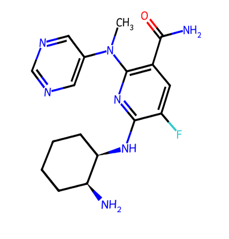 CN(c1cncnc1)c1nc(N[C@@H]2CCCC[C@@H]2N)c(F)cc1C(N)=O